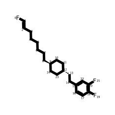 F/C=C/CCCCCC[C@H]1CC[C@H](CCc2ccc(F)c(F)c2)CC1